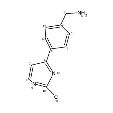 NCc1ccc(-c2ccnc(Cl)n2)cc1